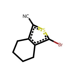 N#Cc1sc(Br)c2c1CCCC2